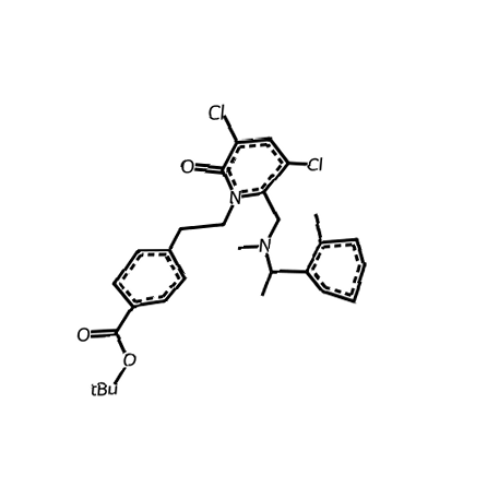 Cc1ccccc1C(C)N(C)Cc1c(Cl)cc(Cl)c(=O)n1CCc1ccc(C(=O)OC(C)(C)C)cc1